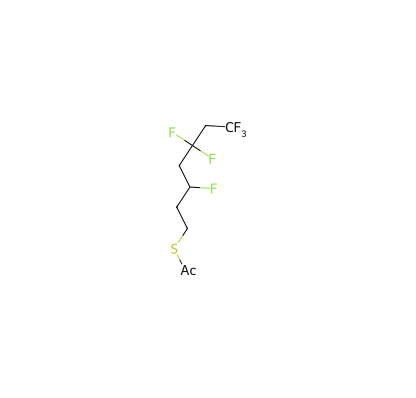 CC(=O)SCCC(F)CC(F)(F)CC(F)(F)F